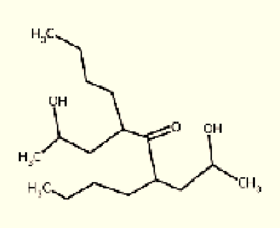 CCCCC(CC(C)O)C(=O)C(CCCC)CC(C)O